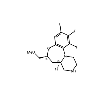 COC[C@@H]1C[C@@H]2CNCCN2c2c(cc(F)c(F)c2F)O1